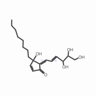 CCCCCCCCC1(O)C=CC(=O)/C1=C\C=C\C(O)C(O)CO